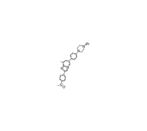 Cc1cc(-c2ccc(N3CCN(C(C)C)CC3)cc2)cn2cc(-c3ccc([S+](C)[O-])cc3)nc12